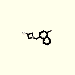 CC(C)c1ccc(CN2CC(C(F)(F)F)C2)c2ccccc12